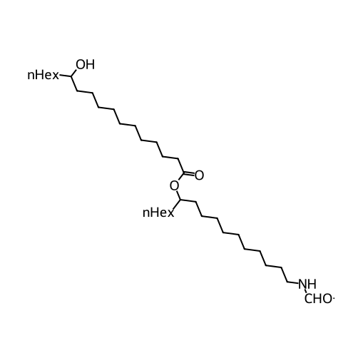 CCCCCCC(O)CCCCCCCCCCC(=O)OC(CCCCCC)CCCCCCCCCCN[C]=O